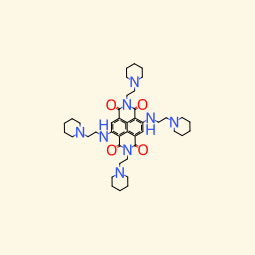 O=C1c2cc(NCCN3CCCCC3)c3c4c(cc(NCCN5CCCCC5)c(c24)C(=O)N1CCN1CCCCC1)C(=O)N(CCN1CCCCC1)C3=O